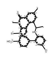 CCn1ncc2c3c(C(C)Nc4ccc(Cl)nc4-c4ccc(C(=O)O)cc4)cc(C)cc3c(=O)n(C)c21